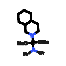 CO[Si](OC)(N1CCC2CCCCC2C1)N(C(C)C)C(C)C